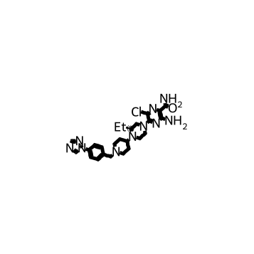 CC[C@H]1CN(c2nc(N)c(C(N)=O)nc2Cl)CCN1C1CCN(Cc2ccc(-n3cncn3)cc2)CC1